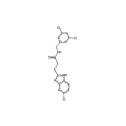 O=C(CSc1nc2nc(Cl)ccc2[nH]1)NCc1cc(Cl)cc(Cl)c1